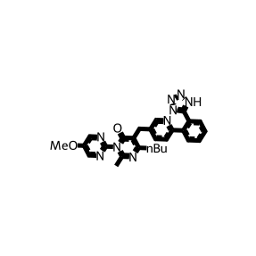 CCCCc1nc(C)n(-c2ncc(OC)cn2)c(=O)c1Cc1ccc(-c2ccccc2-c2nnn[nH]2)nc1